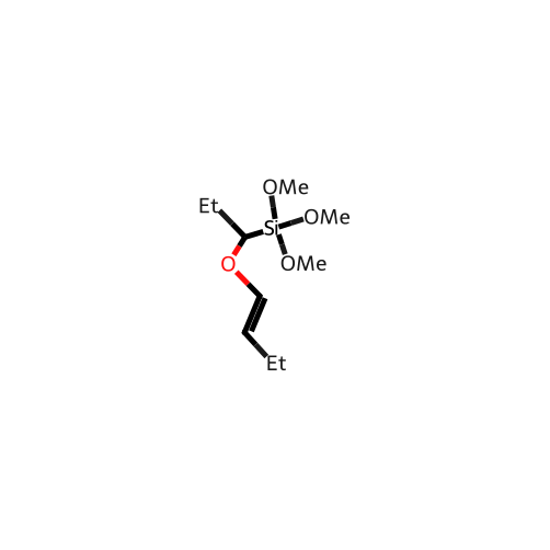 CCC=COC(CC)[Si](OC)(OC)OC